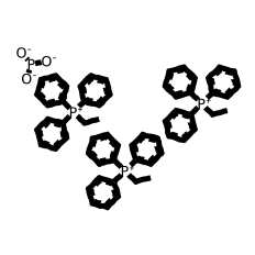 CC[P+](c1ccccc1)(c1ccccc1)c1ccccc1.CC[P+](c1ccccc1)(c1ccccc1)c1ccccc1.CC[P+](c1ccccc1)(c1ccccc1)c1ccccc1.[O-]P([O-])[O-]